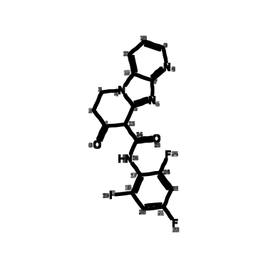 O=C1CCn2c(nc3ncccc32)C1C(=O)Nc1c(F)cc(F)cc1F